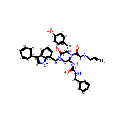 C=CCNCC(=O)N1C(NC(=O)NCc2ccccc2)CN(Cc2cccc3c(-c4ccccc4)c[nH]c23)C(=O)[C@@H]1Cc1ccc(O)cc1